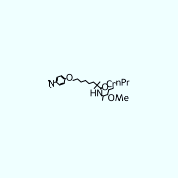 CC[CH2][Cr][CH2]CC(OC)C(C)NC(=O)C(C)(C)CCCCCCOc1ccc(N(C)C)cc1